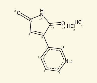 Cl.Cl.O=C1C=C(c2cccnc2)C(=O)N1